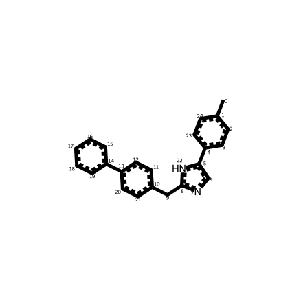 Cc1ccc(-c2cnc(Cc3ccc(-c4ccccc4)cc3)[nH]2)cc1